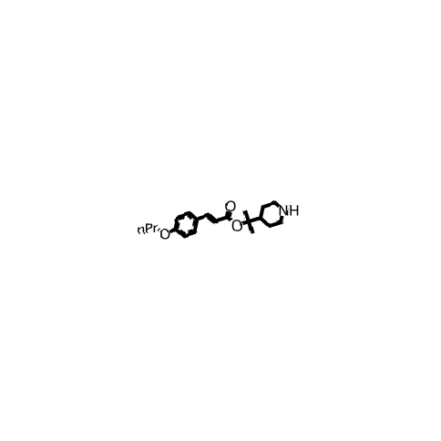 CCCOc1ccc(/C=C/C(=O)OC(C)(C)C2CCNCC2)cc1